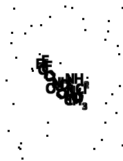 Cc1ccc(C(=O)Nc2ccc(OC(F)(F)F)cc2)cc1N(CC(N)=O)c1ncccc1Cl